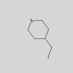 ICC1CCSCC1